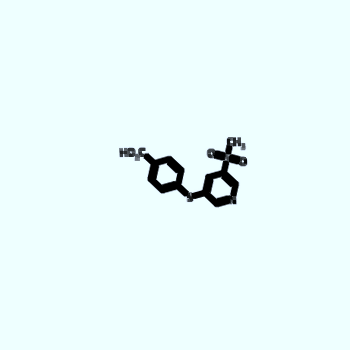 CS(=O)(=O)c1cncc(Sc2ccc(C(=O)O)cc2)c1